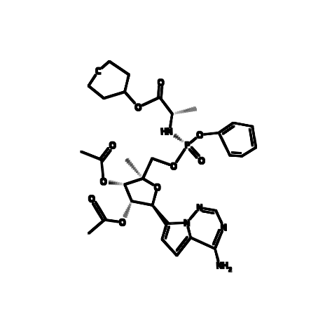 CC(=O)O[C@H]1[C@H](c2ccc3c(N)ncnn23)O[C@](C)(CO[P@@](=O)(N[C@@H](C)C(=O)OC2CCCCC2)Oc2ccccc2)[C@H]1OC(C)=O